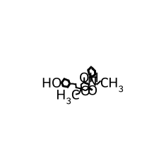 CCCN(C1=C(O)CC(CC)(CCc2ccc(O)cc2)OC1=O)c1ccccc1